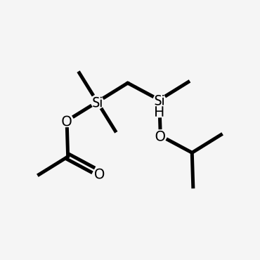 CC(=O)O[Si](C)(C)C[SiH](C)OC(C)C